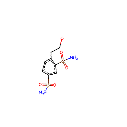 NS(=O)(=O)c1ccc(CC[O])c(S(N)(=O)=O)c1